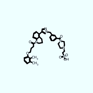 Cc1cccc(OCCCC(=O)N2CCCc3c(-c4cnn(Cc5cccc(C(=O)N6CCN(CCS(=O)(=O)O)CC6)c5)c4)cccc32)c1C